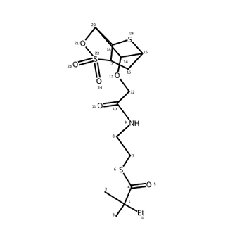 CCC(C)(C)C(=O)SCCNC(=O)COC1C2CC3C(S2)C1OS3(=O)=O